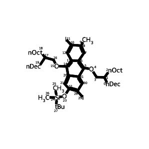 CCCCCCCCCCC(CCCCCCCC)COc1c2cc(C)c(I)cc2c(OCC(CCCCCCCC)CCCCCCCCCC)c2cc(O[Si](C)(C)C(C)(C)C)c(I)cc12